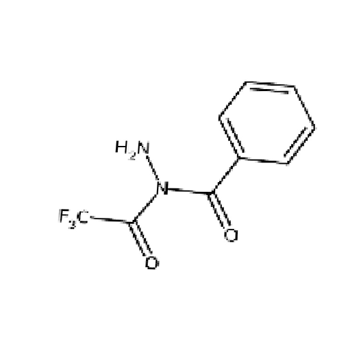 NN(C(=O)c1ccccc1)C(=O)C(F)(F)F